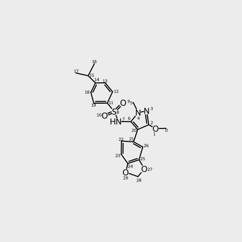 COc1nn(C)c(NS(=O)(=O)c2ccc(C(C)C)cc2)c1-c1ccc2c(c1)OCO2